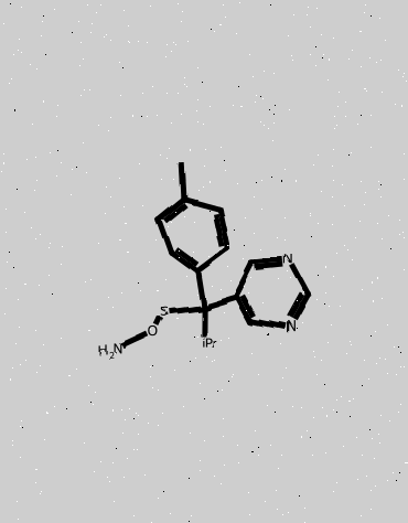 Cc1ccc(C(SON)(c2cncnc2)C(C)C)cc1